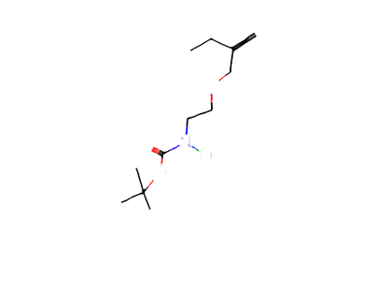 C=C(CC)COCCN(Br)C(=O)OC(C)(C)C